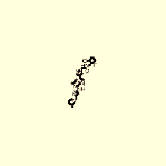 Cc1cn2c(-c3cnn(CC(=O)NCc4c(F)cccc4Cl)c3)cnc2c(Nc2cc(CN3CCCC(C)C3)ns2)n1